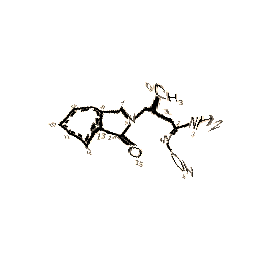 CC(C(N)=NO)N1Cc2ccccc2C1=O